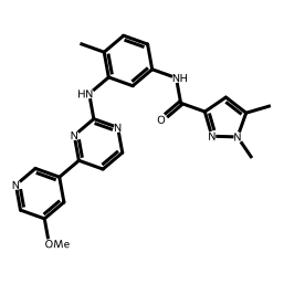 COc1cncc(-c2ccnc(Nc3cc(NC(=O)c4cc(C)n(C)n4)ccc3C)n2)c1